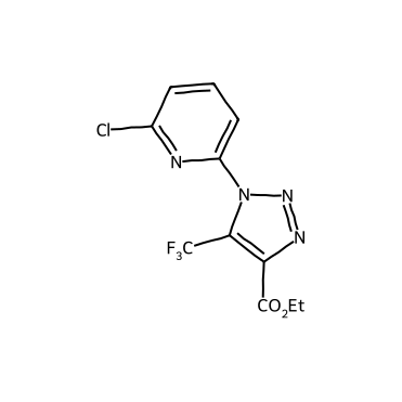 CCOC(=O)c1nnn(-c2cccc(Cl)n2)c1C(F)(F)F